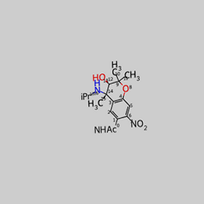 CC(=O)Nc1cc2c(cc1[N+](=O)[O-])OC(C)(C)[C@H](O)[C@@]2(C)NC(C)C